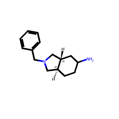 NC1CC[C@H]2CN(Cc3ccccc3)C[C@@H]2C1